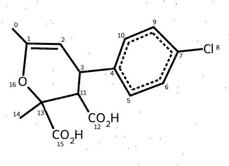 CC1=CC(c2ccc(Cl)cc2)C(C(=O)O)C(C)(C(=O)O)O1